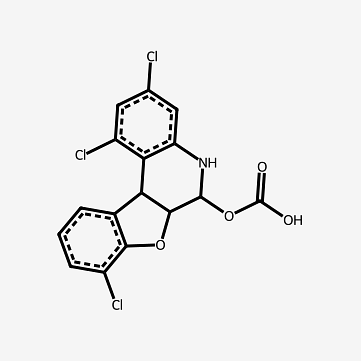 O=C(O)OC1Nc2cc(Cl)cc(Cl)c2C2c3cccc(Cl)c3OC12